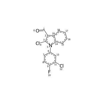 O=Cc1c(Cl)n(-c2ccc(F)c(Cl)c2)c2ccccc12